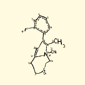 CC1=C(c2cccnc2F)C=C2CCSC[N+]21C#N